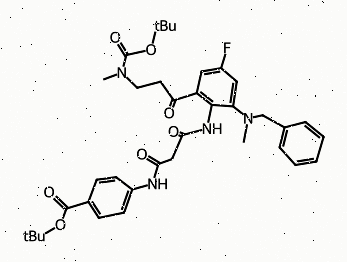 CN(CCC(=O)c1cc(F)cc(N(C)Cc2ccccc2)c1NC(=O)CC(=O)Nc1ccc(C(=O)OC(C)(C)C)cc1)C(=O)OC(C)(C)C